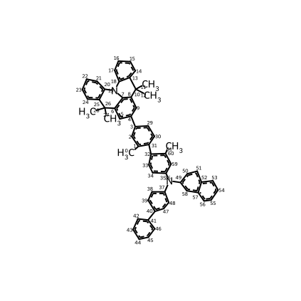 Cc1cc(-c2cc3c4c(c2)C(C)(C)c2ccccc2N4c2ccccc2C3(C)C)ccc1-c1ccc(N(c2ccc(-c3ccccc3)cc2)c2ccc3ccccc3c2)cc1C